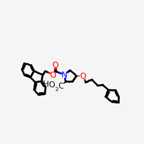 O=C(O)[C@@H]1C[C@@H](OCCCCc2ccccc2)CN1C(=O)OCC1c2ccccc2-c2ccccc21